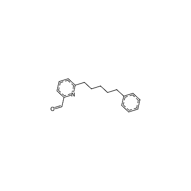 O=Cc1cccc(CCCCCc2ccccc2)n1